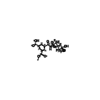 COC(=O)c1cc(C(=O)O)cc(C(=O)NS(=O)(=O)C(F)(F)C(F)(F)C(F)(F)S(=O)(=O)O)c1